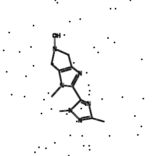 Cc1nc(-c2nc3c(n2C)CN(O)C3)n(C)n1